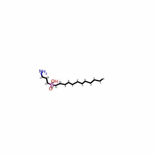 CCCCCCCCCCCCP(=O)(O)CCCN